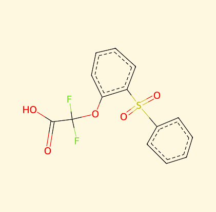 O=C(O)C(F)(F)Oc1ccccc1S(=O)(=O)c1ccccc1